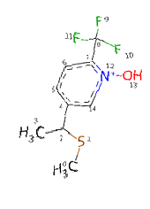 CSC(C)c1ccc(C(F)(F)F)[n+](O)c1